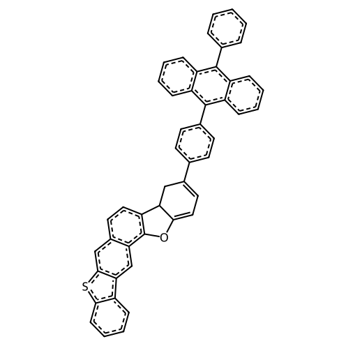 C1=C(c2ccc(-c3c4ccccc4c(-c4ccccc4)c4ccccc34)cc2)CC2C(=C1)Oc1c2ccc2cc3sc4ccccc4c3cc12